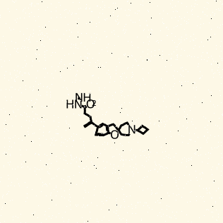 C=C(CCC(=O)NN)c1ccc2c(c1)CC1(CCN(C3CCC3)CC1)O2